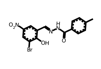 Cc1ccc(C(=O)N/N=C/c2cc([N+](=O)[O-])cc(Br)c2O)cc1